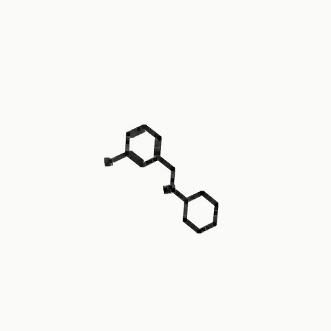 Brc1cccc(CNC2CCCCC2)c1